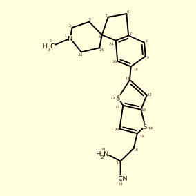 CN1CCC2(CCc3ccc(-c4cc5sc(CC(N)C#N)cc5s4)cc32)CC1